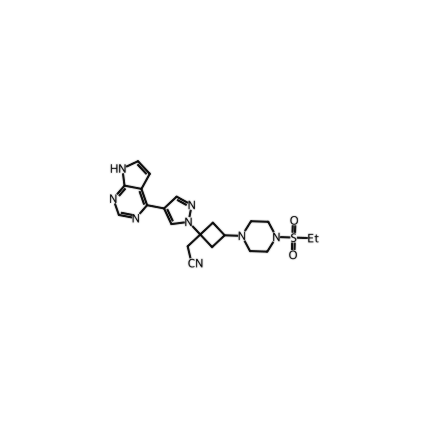 CCS(=O)(=O)N1CCN(C2CC(CC#N)(n3cc(-c4ncnc5[nH]ccc45)cn3)C2)CC1